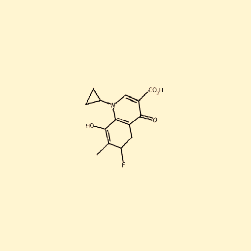 CC1=C(O)c2c(c(=O)c(C(=O)O)cn2C2CC2)CC1F